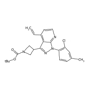 C=Cc1ccnc2c1c(C1CN(C(=O)OC(C)(C)C)C1)nn2-c1ccc(C)cc1Cl